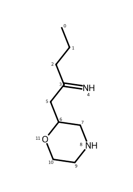 CCCC(=N)CC1CNCCO1